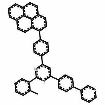 Cc1ccccc1-c1nc(-c2ccc(-c3cccnc3)cc2)cc(-c2ccc(-c3ccc4ccc5cccc6ccc3c4c56)cc2)n1